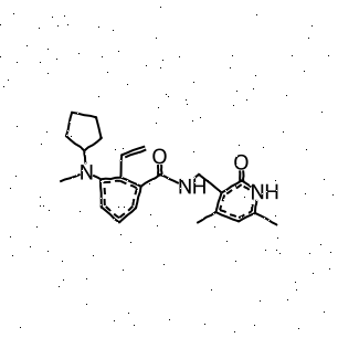 C=Cc1c(C(=O)NCc2c(C)cc(C)[nH]c2=O)cccc1N(C)C1CCCC1